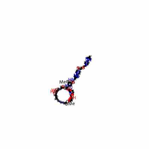 COC1C[C@@H]2CC[C@@H](C)[C@@](O)(O2)C(=O)C(=O)N2CCCC[C@H]2C(=O)O[C@H]([C@H](N)C[C@@H]2CC[C@@H](OC(=O)NCc3cnc(N4CCN(C(=O)CCOCCN5CCN(c6ncc(C)cn6)CC5)CC4)nc3)[C@H](OC)C2)CC(=O)C(C)/C=C(\C)[C@@H](O)[C@@H](O)C(=O)[C@H](C)C[C@H](C)/C=C/C=C/C=C/1C